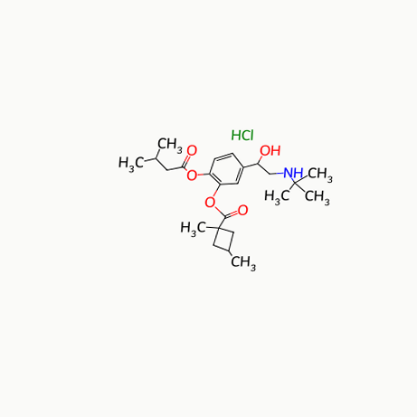 CC(C)CC(=O)Oc1ccc(C(O)CNC(C)(C)C)cc1OC(=O)C1(C)CC(C)C1.Cl